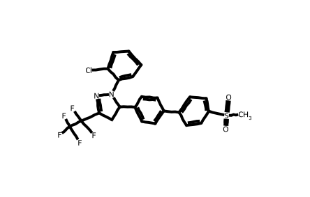 CS(=O)(=O)c1ccc(-c2ccc(C3CC(C(F)(F)C(F)(F)F)=NN3c3ccccc3Cl)cc2)cc1